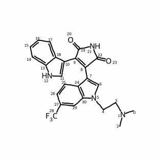 CN(C)CCn1cc(C2=C(c3c[nH]c4ccccc34)C(=O)NC2=O)c2ccc(C(F)(F)F)cc21